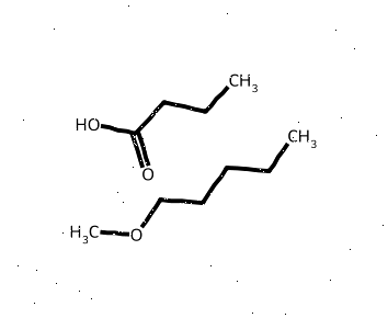 CCCC(=O)O.CCCCCOC